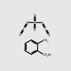 CCOC(=O)c1ccccc1C.O=C=NS(=O)(=O)N=C=O